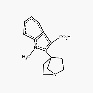 Cn1c(C23CCN(CC2)C3)c(C(=O)O)c2ccccc21